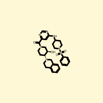 O=C(c1cc(NC2CCN(S(=O)(=O)c3ccccc3)CC2)ncn1)N1CC[C@@H](N2CCc3ccccc3C2)[C@H](O)C1